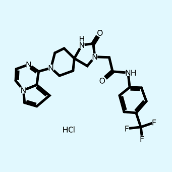 Cl.O=C(CN1CC2(CCN(c3nccn4cccc34)CC2)NC1=O)Nc1ccc(C(F)(F)F)cc1